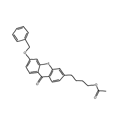 CC(=O)OCCCCc1ccc2c(=O)c3ccc(OCc4ccccc4)cc3sc2c1